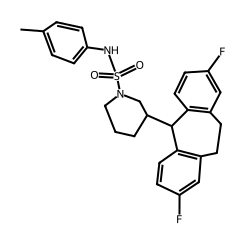 Cc1ccc(NS(=O)(=O)N2CCCC(C3c4ccc(F)cc4CCc4cc(F)ccc43)C2)cc1